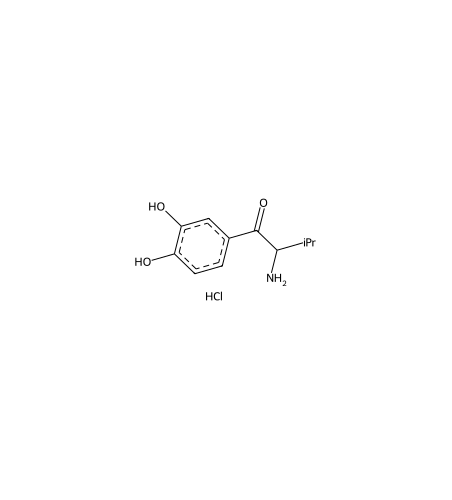 CC(C)C(N)C(=O)c1ccc(O)c(O)c1.Cl